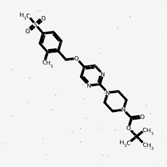 Cc1cc(S(C)(=O)=O)ccc1COc1cnc(N2CCN(C(=O)OC(C)(C)C)CC2)nc1